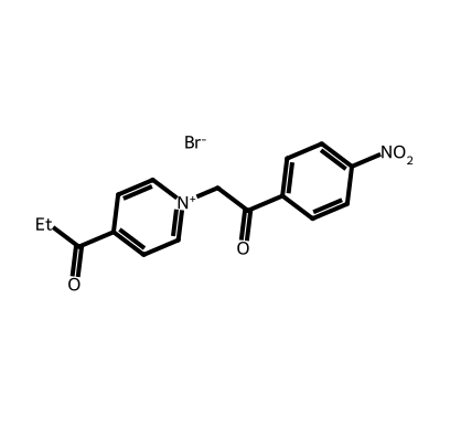 CCC(=O)c1cc[n+](CC(=O)c2ccc([N+](=O)[O-])cc2)cc1.[Br-]